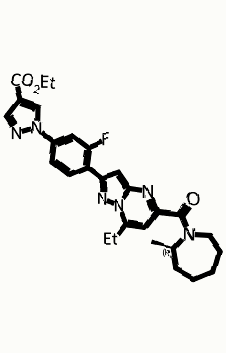 CCOC(=O)c1cnn(-c2ccc(-c3cc4nc(C(=O)N5CCCCC[C@H]5C)cc(CC)n4n3)c(F)c2)c1